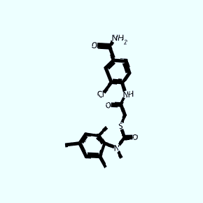 Cc1cc(C)c(N(C)C(=O)SCC(=O)Nc2ccc(C(N)=O)cc2Cl)c(C)c1